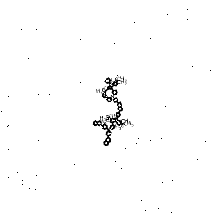 CC(C)(C)c1ccc2c3c(-c4cccc(N(c5ccc(-c6ccc7ccccc7c6)cc5)c5ccc(-c6ccc7ccccc7c6)cc5)c4)cc(C(C)(C)C)cc3n(-c3ccc(-c4ccc5ccc(-c6ccc(N7c8cccc(c8)-c8cc(cc9c8c8ccc(C(C)(C)C)cc8n9-c8ccccc8)C(C)(C)c8cccc(c8)-c8ccccc87)cc6)cc5c4)cc3)c2c1